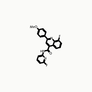 COc1ccc(-c2cc(C(=O)Nc3cccc(F)n3)c3cccc(F)c3n2)cc1